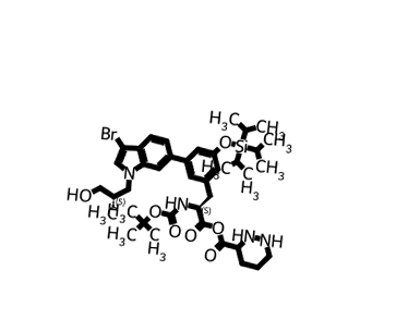 CC(C)[Si](Oc1cc(C[C@H](NC(=O)OC(C)(C)C)C(=O)OC(=O)C2CCCNN2)cc(-c2ccc3c(Br)cn(C[C@H](C)CO)c3c2)c1)(C(C)C)C(C)C